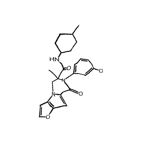 CC1CCC(NC(=O)C2(C)Cn3c(cc4occc43)C(=O)N2c2cccc(Cl)c2)CC1